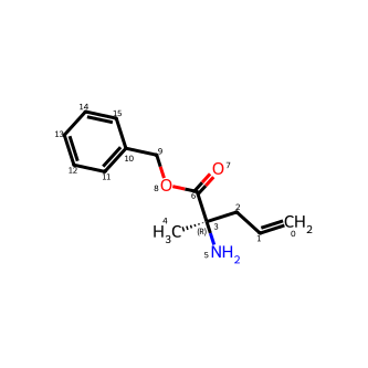 C=CC[C@@](C)(N)C(=O)OCc1ccccc1